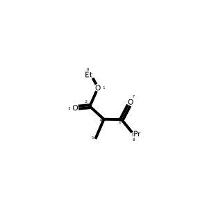 CCOC(=O)C(C)C(=O)C(C)C